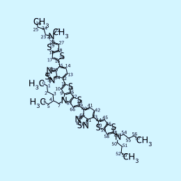 CCCCC(CC)Cn1c2cc(-c3ccc(-c4cc5sc(N(C)CCCC)cc5s4)c4nsnc34)sc2c2sc(-c3ccc(-c4cc5sc(N(CCCC)CCCC)cc5s4)c4nsnc34)cc21